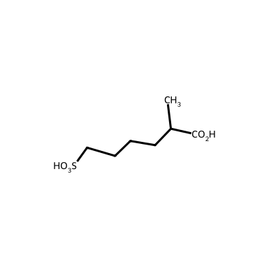 CC(CCCCS(=O)(=O)O)C(=O)O